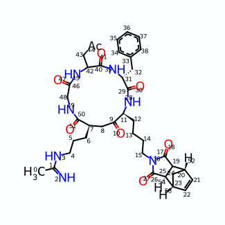 CC(=N)NCCC[C@@H]1CC(=O)[C@H](CCCCN2C(=O)C3[C@@H]4C=C[C@@H](C4)[C@H]3C2=O)NC(=O)[C@@H](Cc2ccccc2)NC(=O)C(CC(C)=O)NC(=O)CNC1=O